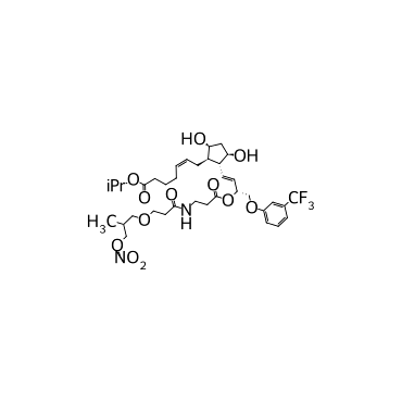 CC(COCCC(=O)NCCC(=O)O[C@H](/C=C/[C@@H]1[C@@H](C/C=C\CCCC(=O)OC(C)C)[C@@H](O)C[C@H]1O)COc1cccc(C(F)(F)F)c1)CO[N+](=O)[O-]